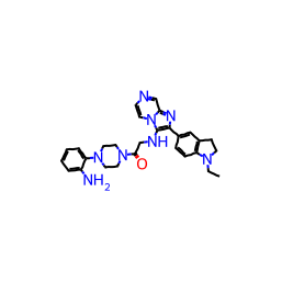 CCN1CCc2cc(-c3nc4cnccn4c3NCC(=O)N3CCN(c4ccccc4N)CC3)ccc21